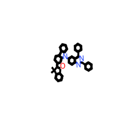 CC1(C)c2ccccc2-c2oc3c(ccc4c5ccccc5n(-c5ccc6nc(-c7ccccc7)nc(-c7ccccc7)c6c5)c43)c21